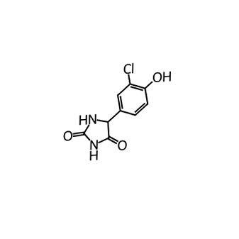 O=C1NC(=O)C(c2ccc(O)c(Cl)c2)N1